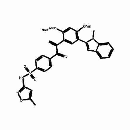 C=C(C(=O)c1ccc(S(=O)(=O)Nc2cc(C)on2)cc1)c1cc(-c2cc3ccccc3n2C)c(OC)cc1OC.[NaH]